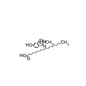 CCCCCCCCCCCCCCCCCC(=O)O.CN1CC[C@]23CCCC[C@H]2[C@H]1Cc1ccc(O)cc13